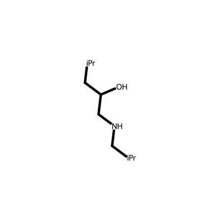 CC(C)CNCC(O)CC(C)C